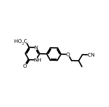 CC(CC#N)COc1ccc(-c2nc(C(=O)O)cc(=O)[nH]2)cc1